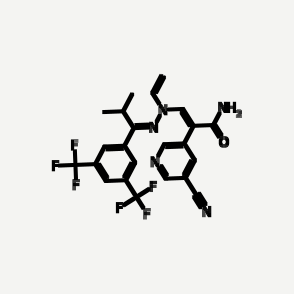 C=CN(/C=C(/C(N)=O)c1cncc(C#N)c1)/N=C(/c1cc(C(F)(F)F)cc(C(F)(F)F)c1)C(C)C